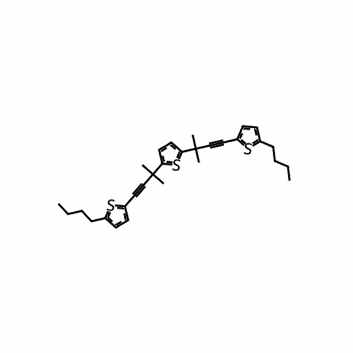 CCCCc1ccc(C#CC(C)(C)c2ccc(C(C)(C)C#Cc3ccc(CCCC)s3)s2)s1